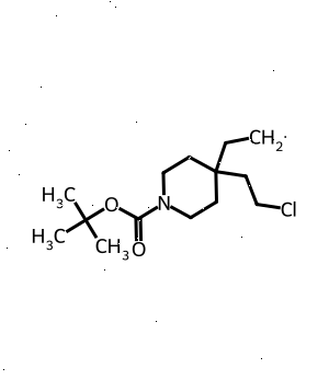 [CH2]CC1(CCCl)CCN(C(=O)OC(C)(C)C)CC1